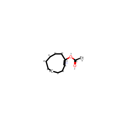 CCC(=O)O/C1=C/CCCCCCCC1